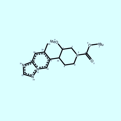 COC1CN(C(=O)OC(C)(C)C)CCC1c1cn2ncnc2cc1C